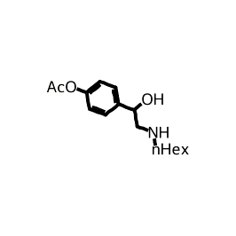 CCCCCCNCC(O)c1ccc(OC(C)=O)cc1